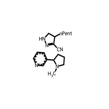 CCCCCC1CNN=C1C#N.CN1CCCC1c1cccnc1